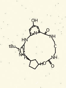 CC(C)(C)n1nc2cc1Nc1cc(O)cc(n1)C(=O)NCCCNC(=O)O[C@@H]1CC[C@H]2C1